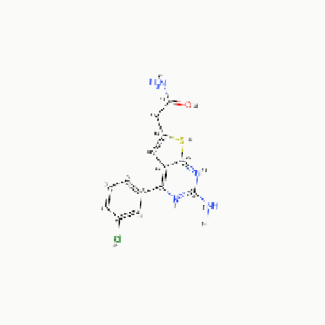 CNc1nc(-c2cccc(Cl)c2)c2cc(CC(N)=O)sc2n1